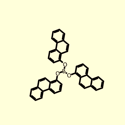 c1ccc2c(c1)ccc1c(OB(Oc3cccc4c3ccc3ccccc34)Oc3cccc4c3ccc3ccccc34)cccc12